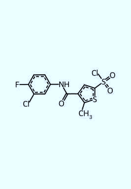 Cc1sc(S(=O)(=O)Cl)cc1C(=O)Nc1ccc(F)c(Cl)c1